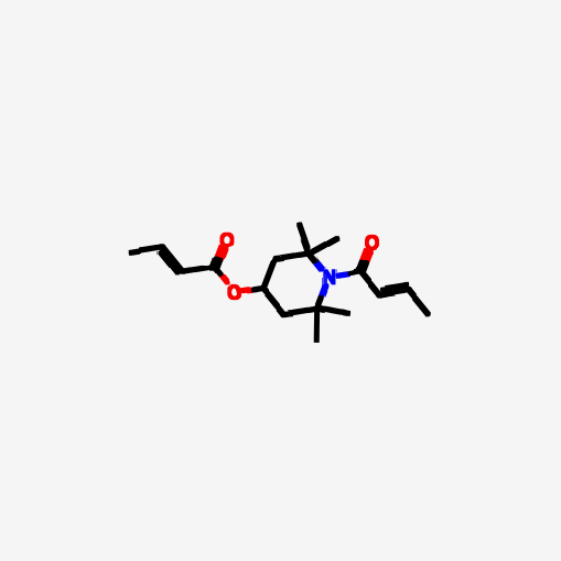 CC=CC(=O)OC1CC(C)(C)N(C(=O)C=CC)C(C)(C)C1